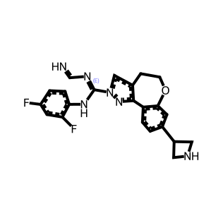 N=C/N=C(\Nc1ccc(F)cc1F)n1cc2c(n1)-c1ccc(C3CNC3)cc1OCC2